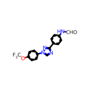 O=CNc1ccc(-c2ncn(-c3ccc(OC(F)(F)F)cc3)n2)cc1